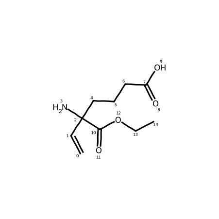 C=CC(N)(CCCC(=O)O)C(=O)OCC